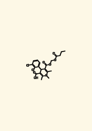 CCCC(=O)OCOC(=O)C1=C(C)N(C)C(C)=C(C(=O)O)C1c1cccc(Cl)c1Cl